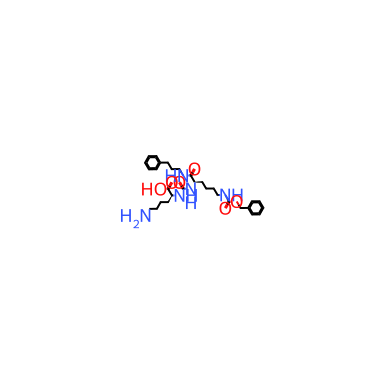 NCCCC[C@H](NC(=O)N[C@H](CCCCNC(=O)OCc1ccccc1)C(=O)NCCCc1ccccc1)C(=O)O